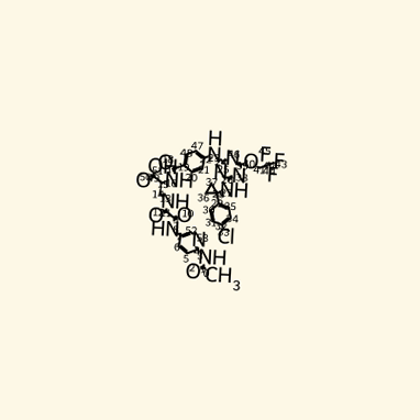 CC(=O)Nc1ccc(NC(=O)C(=O)NC[C@H](NC(=O)c2ccc(Nc3nc(NC4(c5ccc(Cl)cc5)CC4)nc(OCC(F)(F)F)n3)cc2)C(=O)O)cn1